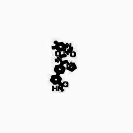 CNC(=O)c1cccc(-c2ccc(C(CN3CCCC3)N(C)C(=O)Cn3c(=O)cnc4cc(C)c(C)cc43)cc2)c1